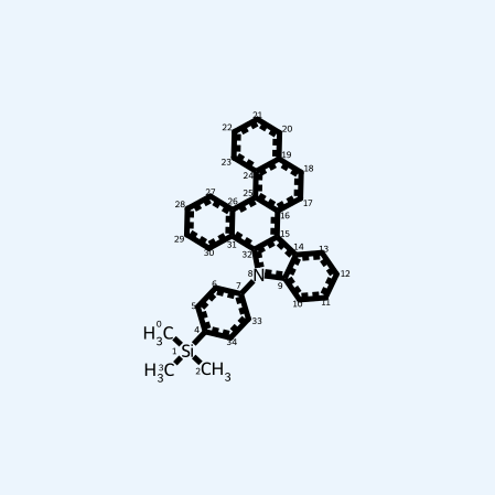 C[Si](C)(C)c1ccc(-n2c3ccccc3c3c4ccc5ccccc5c4c4ccccc4c32)cc1